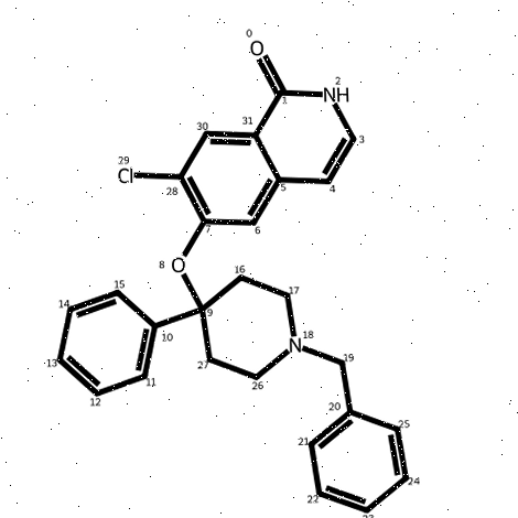 O=c1[nH]ccc2cc(OC3(c4ccccc4)CCN(Cc4ccccc4)CC3)c(Cl)cc12